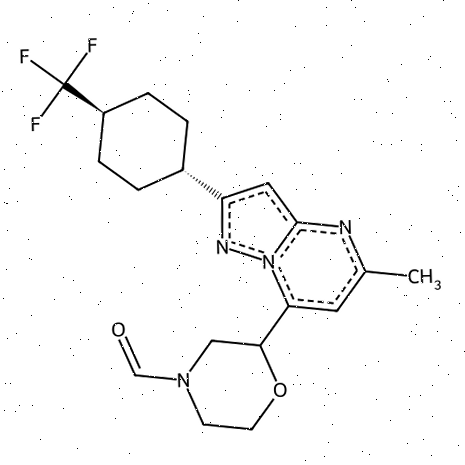 Cc1cc(C2CN(C=O)CCO2)n2nc([C@H]3CC[C@H](C(F)(F)F)CC3)cc2n1